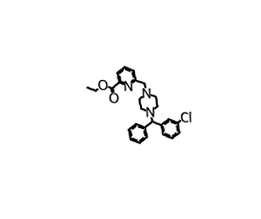 CCOC(=O)c1cccc(CN2CCN(C(c3ccccc3)c3cccc(Cl)c3)CC2)n1